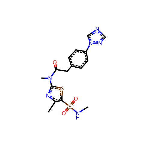 CNS(=O)(=O)c1sc(N(C)C(=O)Cc2ccc(-n3cncn3)cc2)nc1C